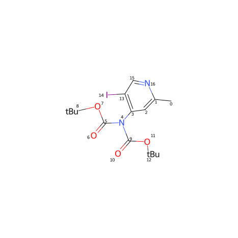 Cc1cc(N(C(=O)OC(C)(C)C)C(=O)OC(C)(C)C)c(I)cn1